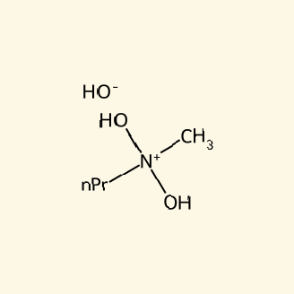 CCC[N+](C)(O)O.[OH-]